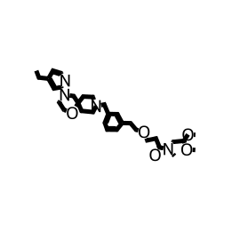 CCc1ccnc(N2CCOC3(CCN(Cc4cccc(CCOCCC(=O)N(C)CC(OC)OC)c4)CC3)C2)c1